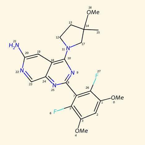 COc1cc(OC)c(F)c(-c2nc(N3CCC(C)(OC)C3)c3cc(N)ncc3n2)c1F